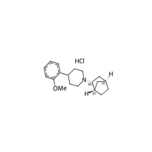 COc1ccccc1C1CCN([C@@H]2C[C@H]3CC[C@H]2C3)CC1.Cl